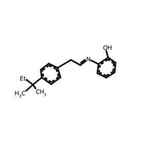 CCC(C)(C)c1ccc(CC=Nc2ccccc2O)cc1